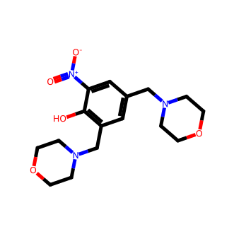 O=[N+]([O-])c1cc(CN2CCOCC2)cc(CN2CCOCC2)c1O